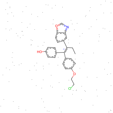 CC/C(=C(/c1ccc(O)cc1)c1ccc(OCCCl)cc1)c1ccc2ocnc2c1